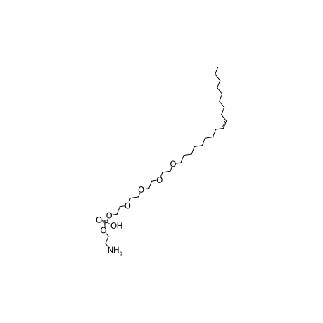 CCCCCCCC/C=C\CCCCCCCCOCCOCCOCCOCCOP(=O)(O)OCCN